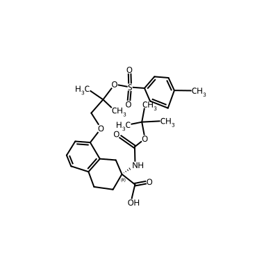 Cc1ccc(S(=O)(=O)OC(C)(C)COc2cccc3c2C[C@@](NC(=O)OC(C)(C)C)(C(=O)O)CC3)cc1